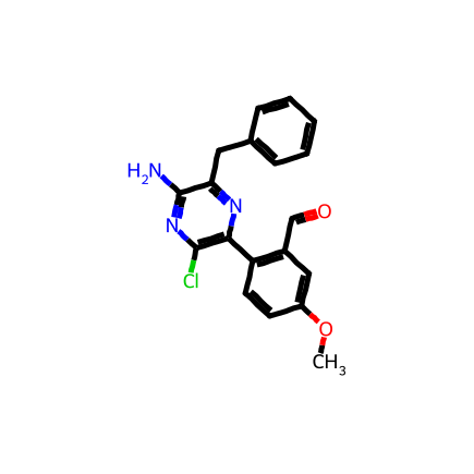 COc1ccc(-c2nc(Cc3ccccc3)c(N)nc2Cl)c(C=O)c1